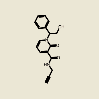 C#CCNC(=O)c1cccn(C(CO)c2ccccc2)c1=O